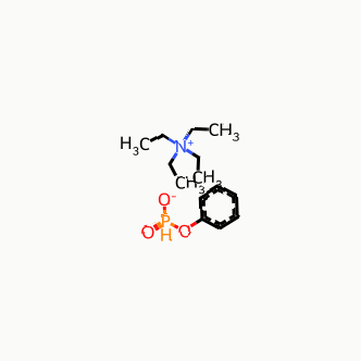 CC[N+](CC)(CC)CC.O=[PH]([O-])Oc1ccccc1